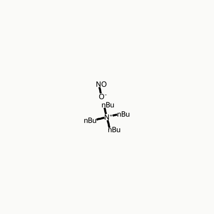 CCCC[N+](CCCC)(CCCC)CCCC.O=N[O-]